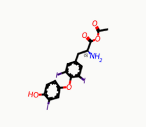 CC(=O)OC(=O)[C@@H](N)Cc1cc(I)c(Oc2ccc(O)c(I)c2)c(I)c1